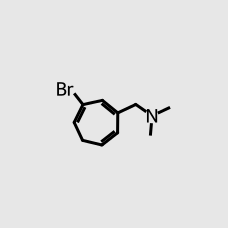 CN(C)CC1=CC(Br)=CCC=C1